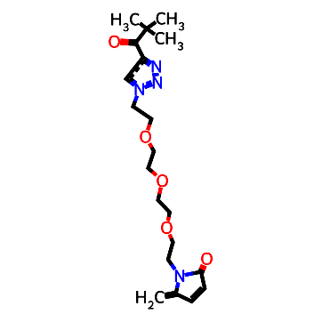 C=C1C=CC(=O)N1CCOCCOCCOCCn1cc(C(=O)C(C)(C)C)nn1